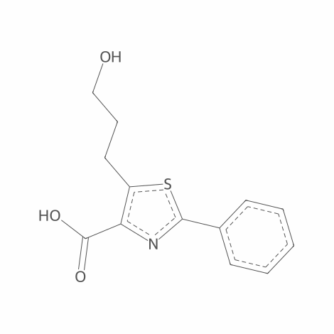 O=C(O)c1nc(-c2ccccc2)sc1CCCO